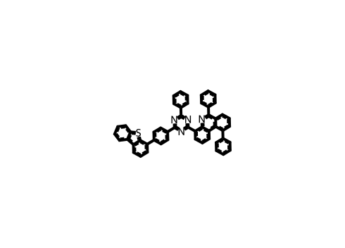 c1ccc(-c2nc(-c3ccc(-c4cccc5c4sc4ccccc45)cc3)nc(-c3cccc4c3nc(-c3ccccc3)c3cccc(-c5ccccc5)c34)n2)cc1